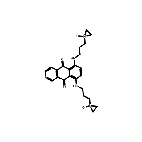 O=C1c2ccncc2C(=O)c2c(NCCC[N+]3([O-])CC3)ccc(NCCC[N+]3([O-])CC3)c21